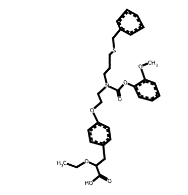 CCOC(Cc1ccc(OCCN(CCCSCc2ccccc2)C(=O)Oc2ccccc2OC)cc1)C(=O)O